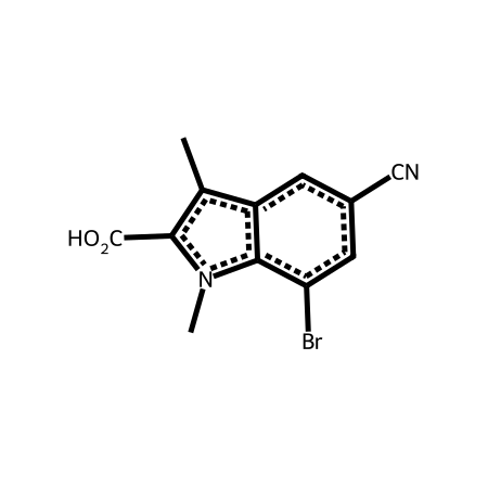 Cc1c(C(=O)O)n(C)c2c(Br)cc(C#N)cc12